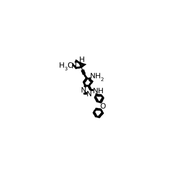 CN1C[C@@H]2C[C@]2(C#Cc2cc3ncnc(Nc4ccc(Oc5ccccc5)cc4)c3cc2N)C1